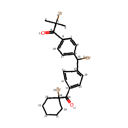 CC(C)(Br)C(=O)c1ccc(C(Br)c2ccc(C(=O)C3(Br)CCCCC3)cc2)cc1